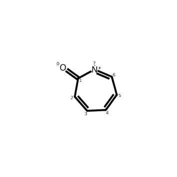 O=C1C=CC=CC=[N+]1